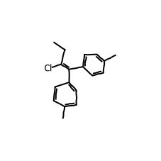 CCC(Cl)=C(c1ccc(C)cc1)c1ccc(C)cc1